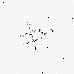 O.O=S(=O)(O)C(F)(F)F.[Zn]